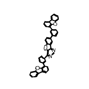 c1cc(-c2ccc3oc4c(-c5cccc(-c6cccc7c6oc6ccccc67)c5)ncnc4c3c2)cc(-c2cccc3c2oc2ccccc23)c1